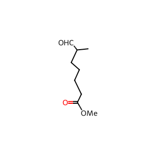 COC(=O)CCCCC(C)C=O